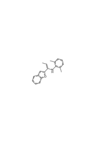 C/C=C(/Nc1c(C)cccc1C)c1cc2ccccc2o1